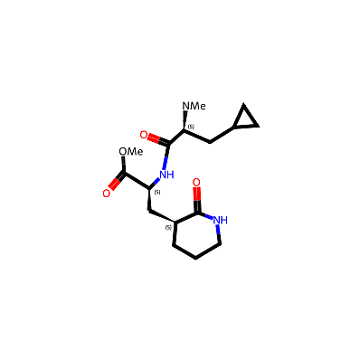 CN[C@@H](CC1CC1)C(=O)N[C@@H](C[C@@H]1CCCNC1=O)C(=O)OC